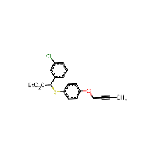 CC#CCOc1ccc(SC(C(=O)OCC)c2cccc(Cl)c2)cc1